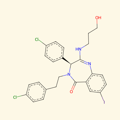 O=C1c2cc(I)ccc2N=C(NCCCO)[C@H](c2ccc(Cl)cc2)N1CCc1ccc(Cl)cc1